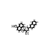 CCC(CC(C)c1ccc2ccccc2c1)C(=O)Oc1cccc2c(O)cccc12